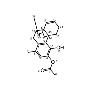 CC(=O)Oc1cc(C)c2c(c1O)[C@@]13CCC=CC1C(C2)N(C)CC3